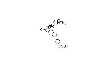 Cn1cc(/C(CC(c2ccc(-c3ccc(C(=O)O)c(F)c3)cc2)c2ccc(Cl)cc2F)=N/O)ccc1=O